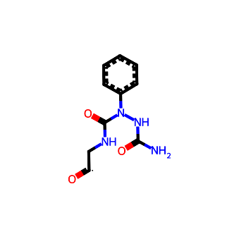 NC(=O)NN(C(=O)NC[C]=O)c1ccccc1